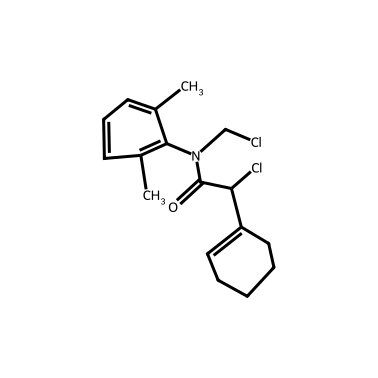 Cc1cccc(C)c1N(CCl)C(=O)C(Cl)C1=CCCCC1